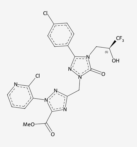 COC(=O)c1nc(Cn2nc(-c3ccc(Cl)cc3)n(C[C@H](O)C(F)(F)F)c2=O)nn1-c1cccnc1Cl